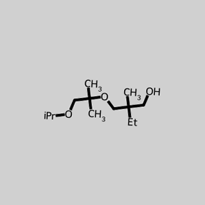 CCC(C)(CO)COC(C)(C)COC(C)C